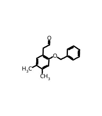 Cc1cc(CC=O)c(OCc2ccccc2)cc1C